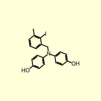 Cc1cccc(CN(c2ccc(O)cc2)c2ccc(O)cc2)c1I